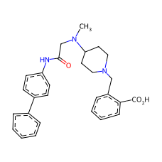 CN(CC(=O)Nc1ccc(-c2ccccc2)cc1)C1CCN(Cc2ccccc2C(=O)O)CC1